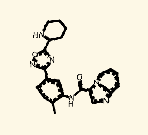 Cc1ccc(-c2noc(C3CCCCN3)n2)cc1NC(=O)c1cnc2ccccn12